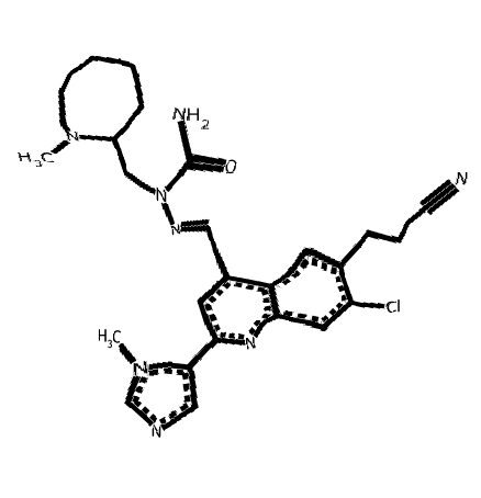 CN1CCCCC1CN(/N=C/c1cc(-c2cncn2C)nc2cc(Cl)c(CCC#N)cc12)C(N)=O